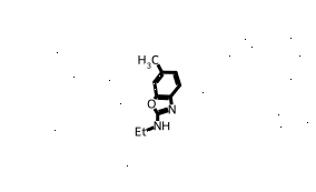 CCNc1nc2ccc(C)cc2o1